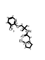 CCN1CCC[C@@H]1CC(=O)NC(C)(C)COc1ncccc1C(F)(F)F